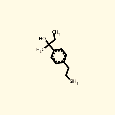 CCC(C)(O)c1ccc(CC[SiH3])cc1